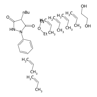 C=CC.C=CC.C=CC.C=CC.C=CC.C=CC.CCCCC1C(=O)NN(c2ccccc2)C1=O.CCOCC.OCCO